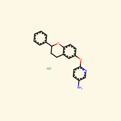 Cl.Nc1ccc(Oc2ccc3c(c2)CCC(c2ccccc2)O3)nc1